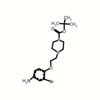 CC(C)(C)OC(=O)N1CCN(CCOc2ccc(N)cc2Br)CC1